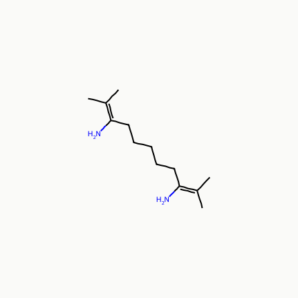 CC(C)=C(N)CCCCCC(N)=C(C)C